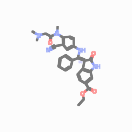 CCOC(=O)c1ccc2c(c1)NC(=O)/C2=C(\Nc1ccc(N(C)C(=O)CN(C)C)c(C#N)c1)c1ccccc1